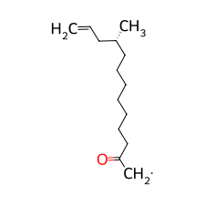 [CH2]C(=O)CCCCCCC[C@@H](C)CC=C